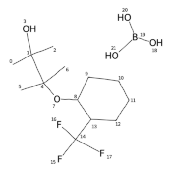 CC(C)(O)C(C)(C)OC1CCCCC1C(F)(F)F.OB(O)O